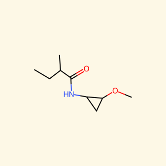 CCC(C)C(=O)NC1CC1OC